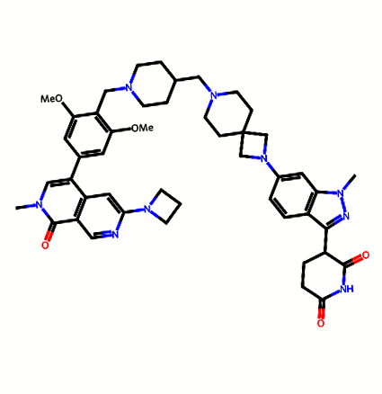 COc1cc(-c2cn(C)c(=O)c3cnc(N4CCC4)cc23)cc(OC)c1CN1CCC(CN2CCC3(CC2)CN(c2ccc4c(C5CCC(=O)NC5=O)nn(C)c4c2)C3)CC1